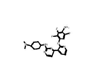 CN(C)C1CCC(Nc2nccc(-c3cccnc3Oc3cc(F)c(N)c(F)c3F)n2)CC1